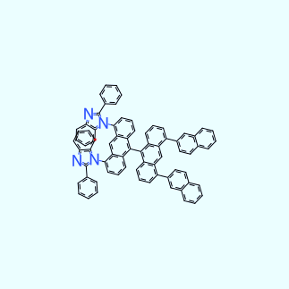 c1ccc(-c2nc3ccccc3n2-c2cccc3c(-c4c5cccc(-c6ccc7ccccc7c6)c5cc5c(-c6ccc7ccccc7c6)cccc45)c4cccc(-n5c(-c6ccccc6)nc6ccccc65)c4cc23)cc1